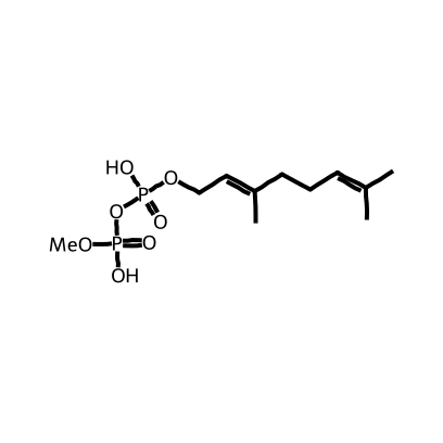 COP(=O)(O)OP(=O)(O)OC/C=C(\C)CCC=C(C)C